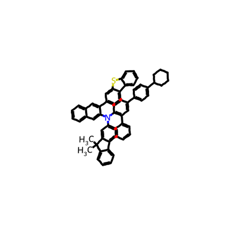 CC1(C)c2ccccc2-c2ccc(N(c3ccc(-c4ccc(C5CCCCC5)cc4)cc3-c3ccccc3)c3cc4ccccc4cc3-c3ccc4c(c3)sc3ccccc34)cc21